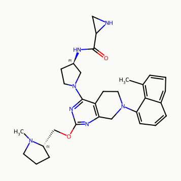 Cc1cccc2cccc(N3CCc4c(nc(OC[C@@H]5CCCN5C)nc4N4CC[C@@H](NC(=O)C5CN5)C4)C3)c12